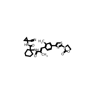 C/C(=C\c1ccc(-c2csc(N3CCOC3=O)n2)cc1C)C(=O)NC1(C(=O)NC2(C#N)CC2)CCCCC1